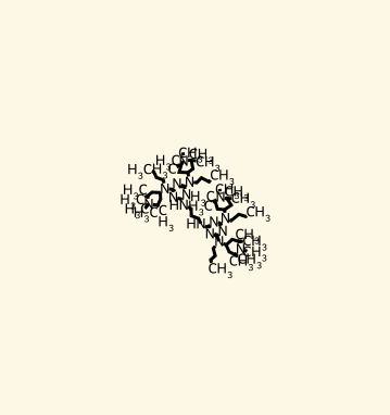 CCCCN(c1nc(NCCCNc2nc(N(CCCC)C3CC(C)(C)N(C)C(C)(C)C3)nc(N(CCCC)C3CC(C)(C)N(C)C(C)(C)C3)n2)nc(N(CCCC)C2CC(C)(C)N(C)C(C)(C)C2)n1)C1CC(C)(C)N(C)C(C)(C)C1